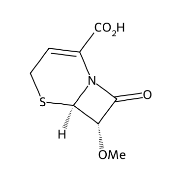 CO[C@H]1C(=O)N2C(C(=O)O)=CCS[C@H]12